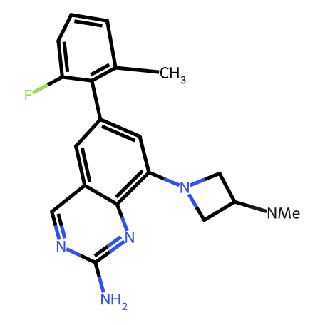 CNC1CN(c2cc(-c3c(C)cccc3F)cc3cnc(N)nc23)C1